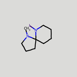 CN1CCCC12CCCCN2I